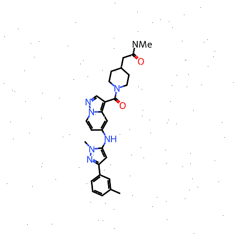 CNC(=O)CC1CCN(C(=O)c2cnn3ccc(Nc4cc(-c5cccc(C)c5)nn4C)cc23)CC1